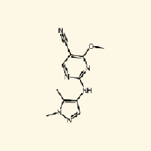 COc1nc(Nc2cnn(C)c2C)ncc1C#N